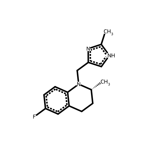 Cc1nc(CN2c3ccc(F)cc3CC[C@H]2C)c[nH]1